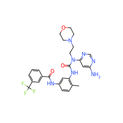 Cc1ccc(NC(=O)c2cccc(C(F)(F)F)c2)cc1NC(=O)N(CCN1CCOCC1)c1cc(N)ncn1